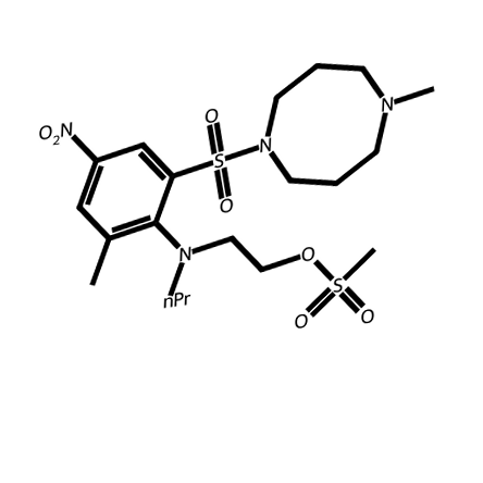 CCCN(CCOS(C)(=O)=O)c1c(C)cc([N+](=O)[O-])cc1S(=O)(=O)N1CCCN(C)CCC1